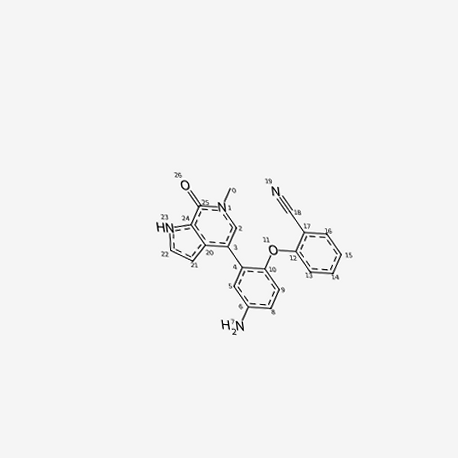 Cn1cc(-c2cc(N)ccc2Oc2ccccc2C#N)c2cc[nH]c2c1=O